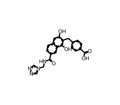 O=C(O)c1ccc(Cc2c(O)cc3ccc(C(=O)NCn4cnnc4)cc3c2O)cc1